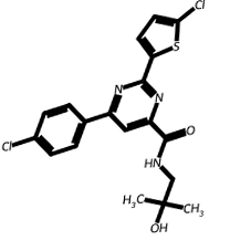 CC(C)(O)CNC(=O)c1cc(-c2ccc(Cl)cc2)nc(-c2ccc(Cl)s2)n1